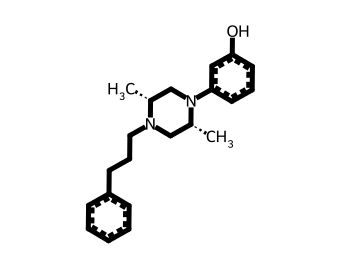 C[C@@H]1CN(c2cccc(O)c2)[C@H](C)CN1CCCc1ccccc1